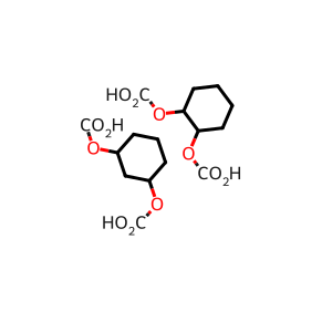 O=C(O)OC1CCCC(OC(=O)O)C1.O=C(O)OC1CCCCC1OC(=O)O